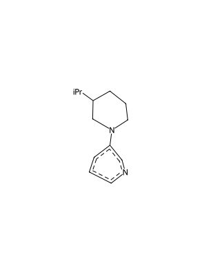 CC(C)C1CCCN(c2cccnc2)C1